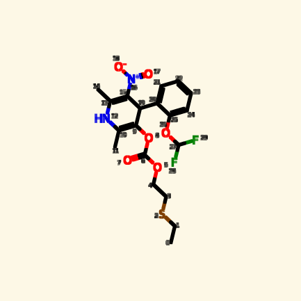 CCSCCOC(=O)OC1=C(C)NC(C)=C([N+](=O)[O-])C1c1ccccc1OC(F)F